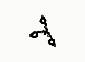 CC(COCC1CCC2OC2C1)(COCC1CCC2OC2C1)COCC1CCC2OC2C1